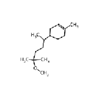 COC(C)(C)CCC(C)C1CC=C(C)CC1